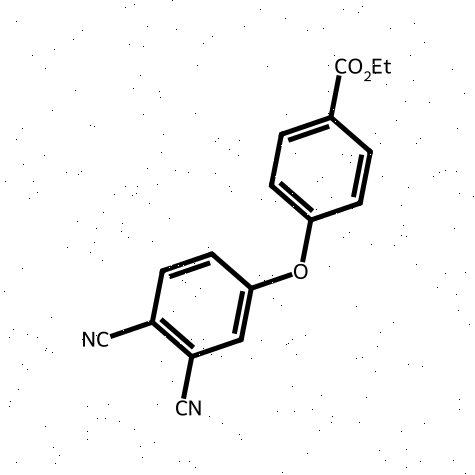 CCOC(=O)c1ccc(Oc2ccc(C#N)c(C#N)c2)cc1